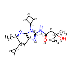 Cc1nc2c(cc1C1CC1)nc(NC(=O)CC(C)(C)O)n2C1CCC1